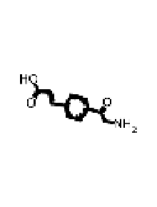 NCC(=O)c1ccc(C=CC(=O)O)cc1